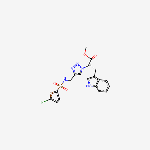 COC(=O)[C@H](Cc1c[nH]c2ccccc12)n1cc(CNS(=O)(=O)c2ccc(Br)s2)nn1